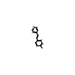 Cc1ccc(/C=C/c2ccncc2)cc1